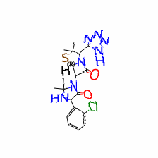 CC1(C)S[C@@H]2C(N3C(=O)C(c4ccccc4Cl)NC3(C)C)C(=O)N2C1c1nnn[nH]1